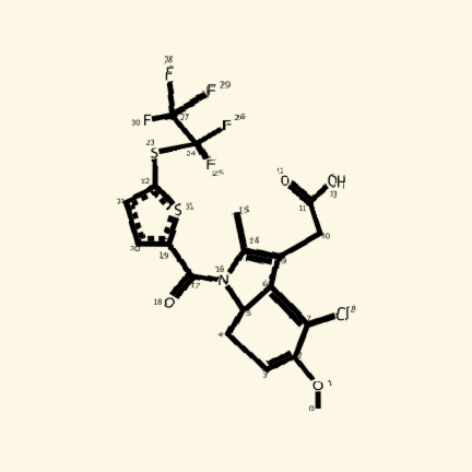 COC1=CCC2C(=C1Cl)C(CC(=O)O)=C(C)N2C(=O)c1ccc(SC(F)(F)C(F)(F)F)s1